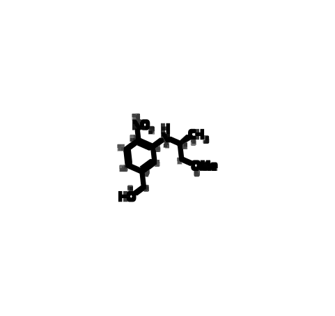 COC[C@H](C)Nc1cc(CO)ccc1[N+](=O)[O-]